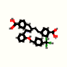 O=C(O)c1ccc(CCC(/C=C/c2ccccc2OCc2ccc(C(F)(F)F)cc2)Cc2ccc(C(=O)O)cc2)cc1